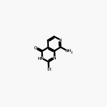 CCc1nc2c(N)nccc2c(=O)[nH]1